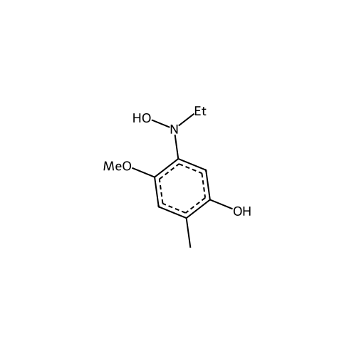 CCN(O)c1cc(O)c(C)cc1OC